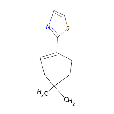 CC1(C)CC=C(c2nccs2)CC1